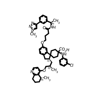 C[C@@H](COc1ccnc2c1[C@H](C)CCC2)C[C@H]1Cc2ccc(OCCCC(=O)N[C@H](C)c3cccc(-c4cn(C)nn4)c3)cc2C12CCC(Nc1cccc(Cl)c1)(C(=O)O)CC2